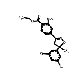 CNc1cc(C2=NOC(c3cc(Cl)cc(Cl)c3)(C(F)(F)F)C2)ccc1C(=O)NCC(F)(F)F